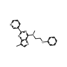 Cc1csc2c(N(C)CCOc3ccccc3)nc(-c3cccnc3)nc12